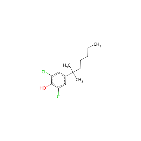 CCCCCC(C)(C)c1cc(Cl)c(O)c(Cl)c1